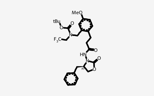 COc1ccc(CCC(=O)NN2C(=O)OC[C@H]2Cc2ccccc2)c(CN(CC(F)(F)F)C(=O)OC(C)(C)C)c1